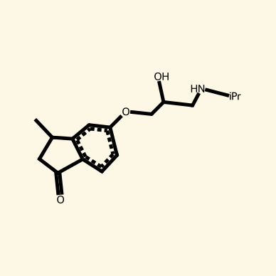 CC(C)NCC(O)COc1ccc2c(c1)C(C)CC2=O